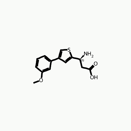 COc1cccc(-c2csc([C@@H](N)CC(=O)O)c2)c1